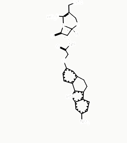 CC(=O)OCC1=C(C(=O)O)N2C(=O)[C@@H](NC(=O)COc3ccc4c(c3)CCc3c-4[nH]c4cc([N+](=O)[O-])ccc34)[C@H]2SC1